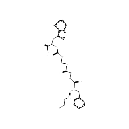 O=C(CCC(=O)N(Cc1ccccc1)N=NCCCl)NCCC(=O)NC(Cc1c[nH]c2ccccc12)C(=O)O